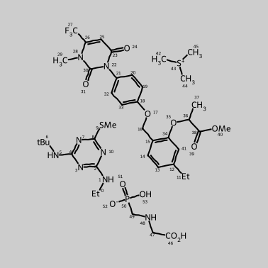 CCNc1nc(NC(C)(C)C)nc(SC)n1.CCc1ccc(COc2ccc(-n3c(=O)cc(C(F)(F)F)n(C)c3=O)cc2)c(OC(C)C(=O)OC)c1.C[S+](C)C.O=C(O)CNCP(=O)([O-])O